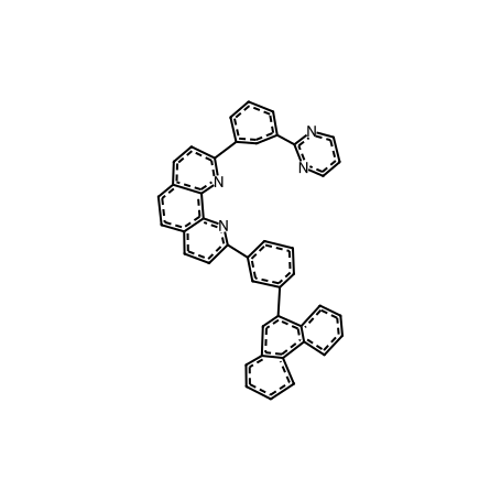 c1cnc(-c2cccc(-c3ccc4ccc5ccc(-c6cccc(-c7cc8ccccc8c8ccccc78)c6)nc5c4n3)c2)nc1